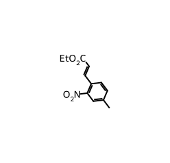 CCOC(=O)/C=C/c1ccc(C)cc1[N+](=O)[O-]